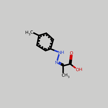 CC(=NNc1ccc(C)cc1)C(=O)O